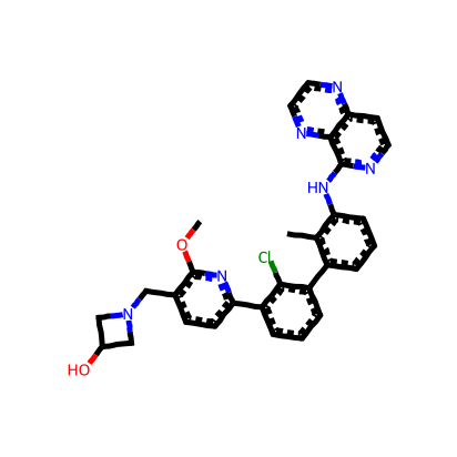 COc1nc(-c2cccc(-c3cccc(Nc4nccc5nccnc45)c3C)c2Cl)ccc1CN1CC(O)C1